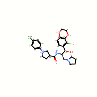 O=C(N[C@H](CN1CCCC1)[C@H](O)c1ccc2c(c1F)OCCO2)C1CCN(c2ccc(Cl)cc2)C1